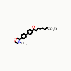 CCOC(=O)CCCCCCC(=O)c1ccc(-c2ccc(C3COCCN3C)cc2)cc1